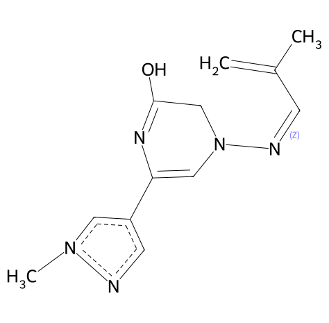 C=C(C)/C=N\N1C=C(c2cnn(C)c2)N=C(O)C1